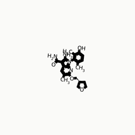 Cc1cc2c(C(N)=O)c(N)n(-c3c(C)ccc(O)c3C)c2nc1OC[C@@H]1CCOC1